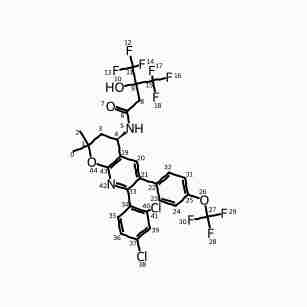 CC1(C)C[C@@H](NC(=O)CC(O)(C(F)(F)F)C(F)(F)F)c2cc(-c3ccc(OC(F)(F)F)cc3)c(-c3ccc(Cl)cc3Cl)nc2O1